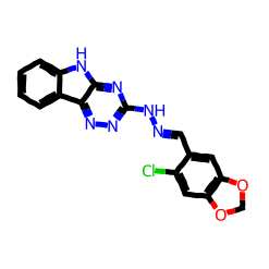 Clc1cc2c(cc1/C=N/Nc1nnc3c(n1)[nH]c1ccccc13)OCO2